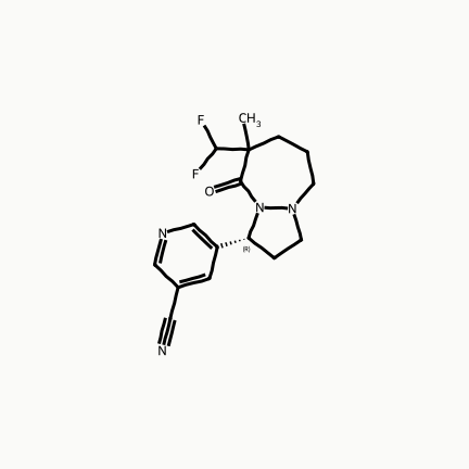 CC1(C(F)F)CCCN2CC[C@H](c3cncc(C#N)c3)N2C1=O